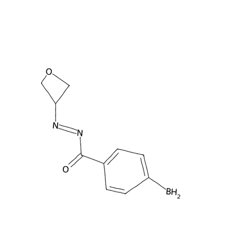 Bc1ccc(C(=O)N=NC2COC2)cc1